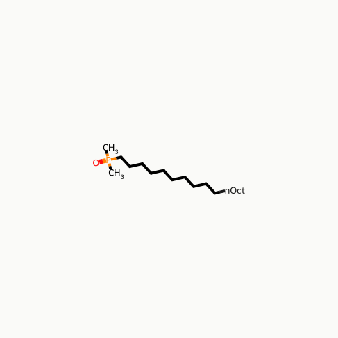 CCCCCCCCCCCCCCCCCCP(C)(C)=O